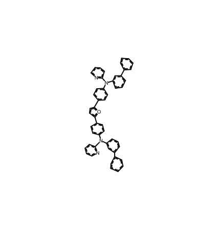 c1ccc(-c2cccc(N(c3ccc(-c4ccc(-c5ccc(N(c6cccc(-c7ccccc7)c6)c6ccccn6)cc5)o4)cc3)c3ccccn3)c2)cc1